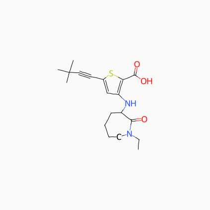 CCN1CCCCC(Nc2cc(C#CC(C)(C)C)sc2C(=O)O)C1=O